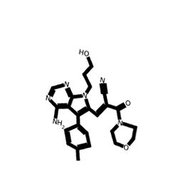 Cc1ccc(-c2c(/C=C(\C#N)C(=O)N3CCOCC3)n(CCCO)c3ncnc(N)c23)cc1